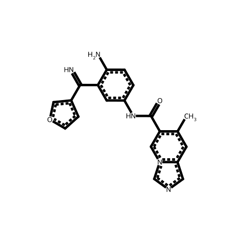 Cc1cc2cncn2cc1C(=O)Nc1ccc(N)c(C(=N)c2ccoc2)c1